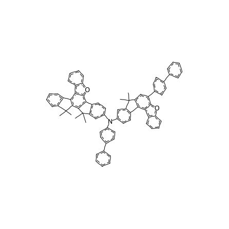 CC1(C)c2cc(N(c3ccc(-c4ccccc4)cc3)c3ccc4c(c3)C(C)(C)c3c5c(c6c(oc7ccccc76)c3-4)-c3ccccc3C5(C)C)ccc2-c2c1cc(-c1ccc(-c3ccccc3)cc1)c1oc3ccccc3c21